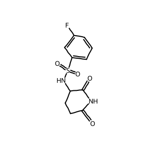 O=C1CCC(NS(=O)(=O)c2cccc(F)c2)C(=O)N1